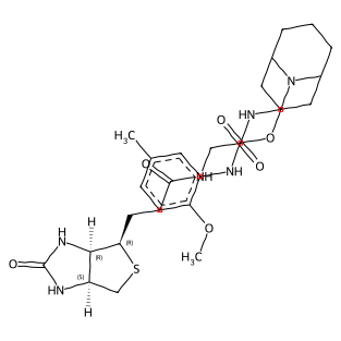 COc1ccc(C)cc1NC(=O)OC1CC2CCCC(C1)N2CNC(=O)CNC(=O)CC[C@H]1SC[C@H]2NC(=O)N[C@H]21